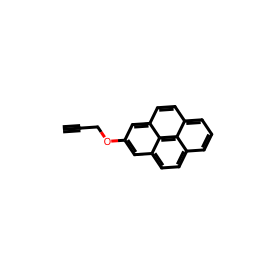 C#CCOc1cc2ccc3cccc4ccc(c1)c2c34